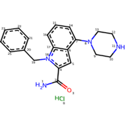 Cl.NC(=O)c1cc2c(N3CCNCC3)cccc2n1Cc1ccccc1